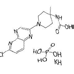 CC1(NC(=O)O)CCN(c2cnc3nc(Cl)ccc3n2)CC1.O=P(O)(O)O.[KH]